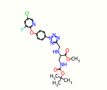 COC(=O)C(CNC(=O)OC(C)(C)C)NCc1nnn(-c2ccc(Oc3ncc(Cl)cc3F)cc2)n1